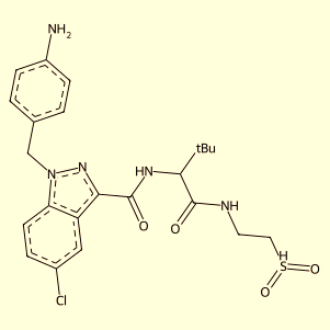 CC(C)(C)C(NC(=O)c1nn(Cc2ccc(N)cc2)c2ccc(Cl)cc12)C(=O)NCC[SH](=O)=O